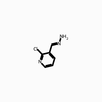 NN=Cc1cccnc1Cl